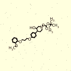 COc1ccccc1OCCCOc1ccc(C2CCN(OC(=O)OC(C)(C)C)CC2O)cc1